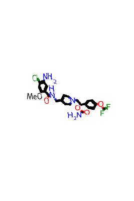 COc1cc(Cl)c(N)cc1C(=O)NCC1CCN(CC(OC(N)=O)c2ccc(OC(F)F)cc2)CC1